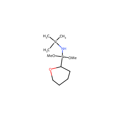 CO[Si](N[Si](C)(C)C)(OC)C1CCCCO1